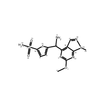 COc1nc(C(N)c2ccc(S(N)(=O)=O)s2)c2cnn(C)c2n1